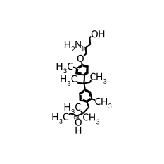 CC[C@H](O)C(C)(C)Cc1ccc(C(CC)(CC)c2ccc(OC[C@H](N)CCO)c(C)c2)cc1C